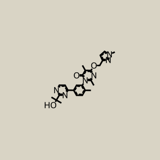 Cc1ccc(-c2ccnc(C(C)(C)O)n2)cc1-n1c(C)nc(OCc2ccn(C)n2)c(C)c1=O